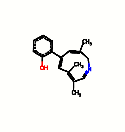 C/C1=C/C(c2ccccc2O)=C\C(C)=C(C)\C=N/C1